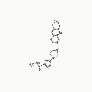 CCc1cc2ncc(CN3CCN(c4csc(C(=O)NC)n4)CC3)cc2[nH]c1=O